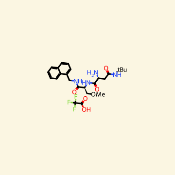 COC[C@H](NC(=O)[C@@H](N)CC(=O)NC(C)(C)C)C(=O)NCc1cccc2ccccc12.O=C(O)C(F)(F)F